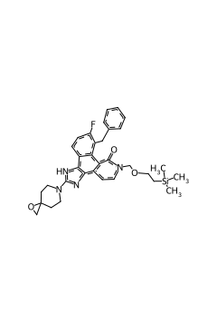 C[Si](C)(C)CCOCn1ccc2c3nc(N4CCC5(CC4)CO5)[nH]c3c3ccc(F)c(Cc4ccccc4)c3c2c1=O